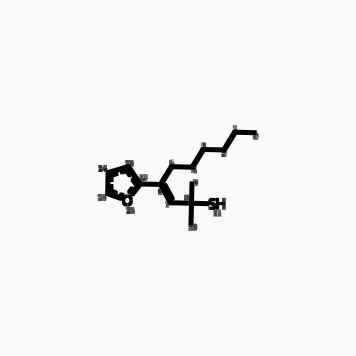 CCCCCC/C(=C\C(C)(C)S)c1ccco1